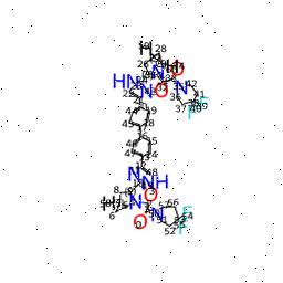 O=C(C(=O)N1C2C[C@H]2C[C@H]1c1nc(-c2ccc(-c3ccc(-c4c[nH]c([C@@H]5C[C@@H]6C[C@@H]6N5C(=O)C(=O)N5CCC(F)(F)CC5)n4)cc3)cc2)c[nH]1)N1CCC(F)(F)CC1